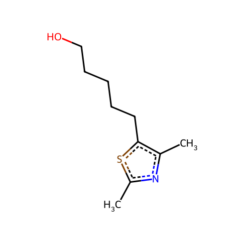 Cc1nc(C)c(CCCCCO)s1